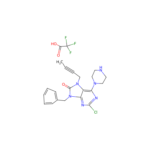 CC#CCn1c(=O)n(Cc2ccccc2)c2nc(Cl)nc(N3CCNCC3)c21.O=C(O)C(F)(F)F